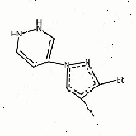 CCc1nn(C2=CNNC=C2)cc1C